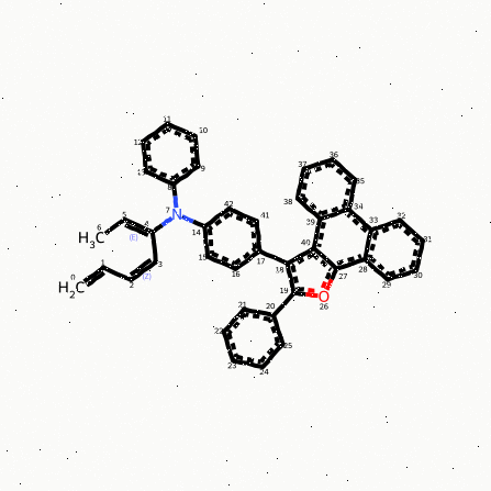 C=C/C=C\C(=C/C)N(c1ccccc1)c1ccc(-c2c(-c3ccccc3)oc3c4ccccc4c4ccccc4c23)cc1